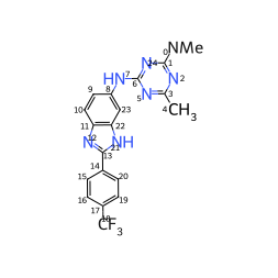 CNc1nc(C)nc(Nc2ccc3nc(-c4ccc(C(F)(F)F)cc4)[nH]c3c2)n1